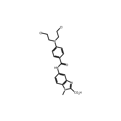 Cn1c(C(=O)O)nc2cc(NC(=O)c3ccc(N(CCCl)CCCl)cc3)ccc21